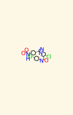 COC(=O)Nc1ccc(-c2cnc3cc(Cl)c(C(=O)N(C)c4ccc(Cl)cc4)cn23)cc1